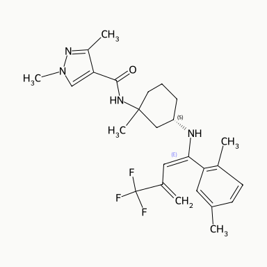 C=C(/C=C(/N[C@H]1CCCC(C)(NC(=O)c2cn(C)nc2C)C1)c1cc(C)ccc1C)C(F)(F)F